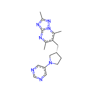 Cc1nc2nc(C)c(C[C@@H]3CCN(c4cncnc4)C3)c(C)n2n1